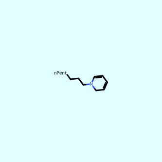 CCCCCCCCN1C=CC=CC1